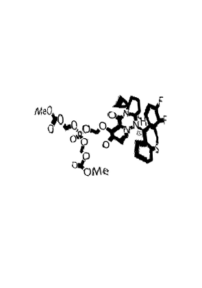 COC(=O)OCOP(=O)(OCOC(=O)OC)OCOc1c2n(ccc1=O)N([C@@H]1c3ccccc3SCc3c1ccc(F)c3F)[C@@H]1CCCC3(CC3)N1C2=O